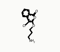 NCCCOc1oc(=O)c2ccccc2c1Cl